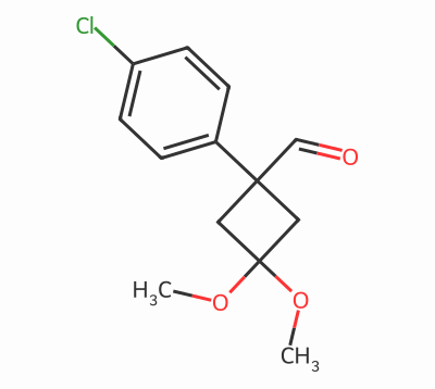 COC1(OC)CC(C=O)(c2ccc(Cl)cc2)C1